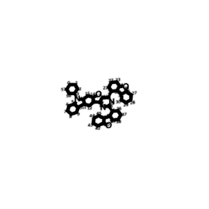 c1ccc(-n2c3ccccc3c3cc4c(cc32)oc2c(-c3cccc5oc6ccccc6c35)nc(-c3cccc5oc6ccccc6c35)nc24)cc1